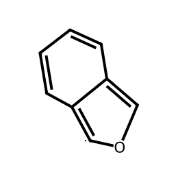 [c]1occ2ccccc12